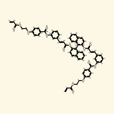 C=CC(=O)OCCOc1ccc(C(=O)Oc2cccc(/C=C/C(=O)Oc3ccc4ccccc4c3-c3c(OC(=O)/C=C/c4cccc(OC(=O)c5ccc(OCCOC(=O)C=C)cc5)c4)ccc4ccccc34)c2)cc1